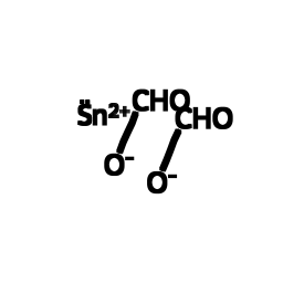 O=C[O-].O=C[O-].[Sn+2]